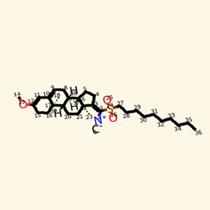 [C-]#[N+]C(=C1CC[C@H]2[C@@H]3CC=C4C=C(OC)CC[C@]4(C)[C@H]3CC[C@]12C)S(=O)(=O)CCCCCCCCCC